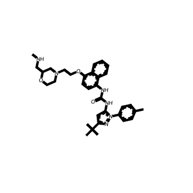 CNCC1CN(CCOc2ccc(NC(=O)Nc3cc(C(C)(C)C)nn3-c3ccc(C)cc3)c3ccccc23)CCO1